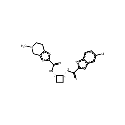 CN1CCc2sc(C(=O)N[C@H]3CC[C@H]3NC(=O)c3cc4cc(Cl)ccc4[nH]3)nc2C1